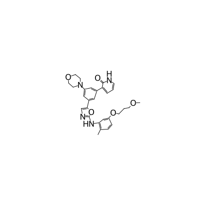 COCCCOc1ccc(C)c(Nc2ncc(-c3cc(-c4ccc[nH]c4=O)cc(N4CCOCC4)c3)o2)c1